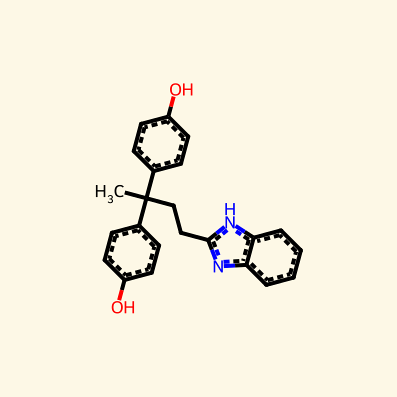 CC(CCc1nc2ccccc2[nH]1)(c1ccc(O)cc1)c1ccc(O)cc1